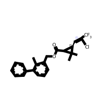 Cc1c(COC(=O)C2[C@@H](/C=C(\Cl)C(F)(F)F)C2(C)C)cccc1-c1ccccc1